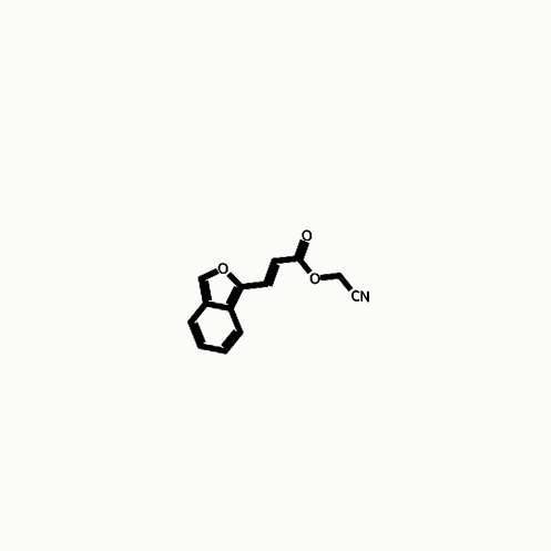 N#CCOC(=O)C=Cc1occ2ccccc12